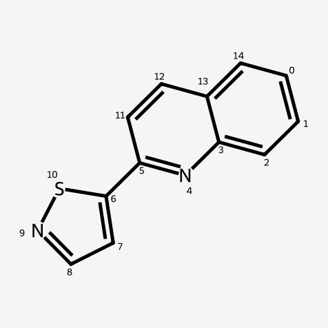 c1ccc2nc(-c3ccns3)ccc2c1